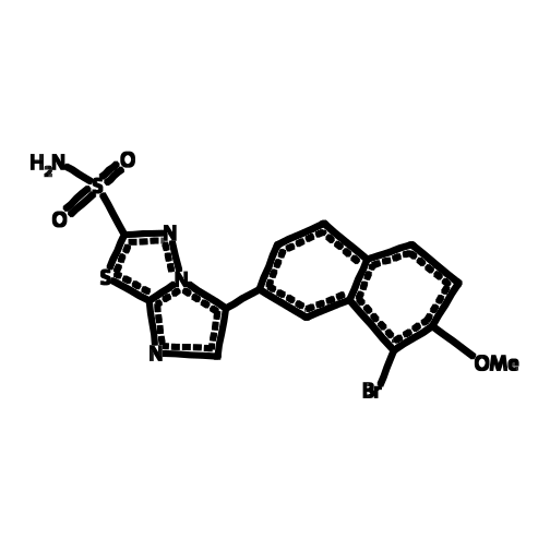 COc1ccc2ccc(-c3cnc4sc(S(N)(=O)=O)nn34)cc2c1Br